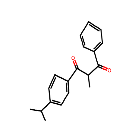 CC(C(=O)c1ccccc1)C(=O)c1ccc(C(C)C)cc1